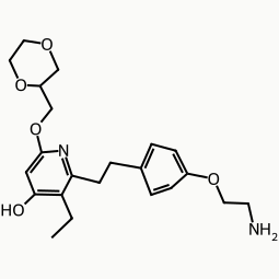 CCc1c(O)cc(OCC2COCCO2)nc1CCc1ccc(OCCN)cc1